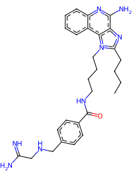 CCCCc1nc2c(N)nc3ccccc3c2n1CCCCNC(=O)c1ccc(CNCC(=N)N)cc1